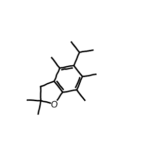 Cc1c(C)c(C(C)C)c(C)c2c1OC(C)(C)C2